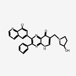 O=c1c(CN2CCC(O)C2)c[nH]c2nc(-c3ccccc3)c(-c3cc(Cl)c4ncccc4c3)nc12